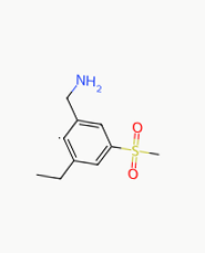 CCc1[c]c(CN)cc(S(C)(=O)=O)c1